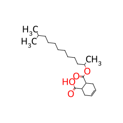 CC(C)CCCCCCCCC(C)OC(=O)C1CC=CCC1C(=O)O